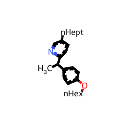 CCCCCCCc1ccc(C(C)c2ccc(OCCCCCC)cc2)nc1